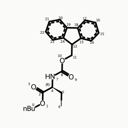 CCCCOC(=O)[C@H](CI)NC(=O)OCC1c2ccccc2-c2ccccc21